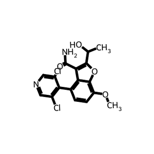 COc1ccc(-c2c(Cl)cncc2Cl)c2c(C(N)=O)c(C(C)O)oc12